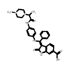 CC(C(=O)Nc1ccc(N/C(=C2\C(=O)Nc3cc(C(=O)O)ccc32)c2ccccc2)cc1)N1CCN(C)CC1